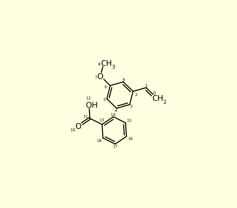 C=Cc1cccc(OC)c1.O=C(O)c1ccccc1